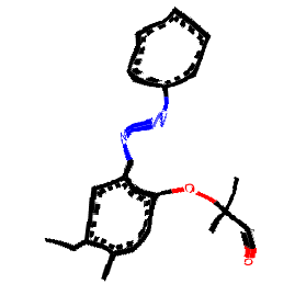 Cc1cc(N=Nc2ccccc2)c(OC(C)(C)[C]=O)cc1C